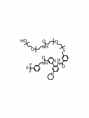 CC(C)(O)CCOC(C)(C)CCNC(=O)CCC(C)(C)OCCC(C)(C)SCc1cccc(C(=O)Nc2ccc(N3CCCCC3)cc2-c2cc(C(=O)NCc3cccc(C(F)(F)F)c3)ccn2)c1